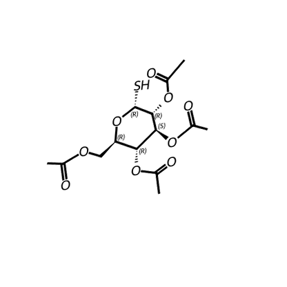 CC(=O)OC[C@H]1O[C@H](S)[C@H](OC(C)=O)[C@@H](OC(C)=O)[C@@H]1OC(C)=O